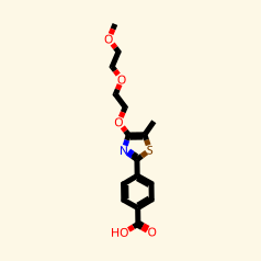 COCCOCCOc1nc(-c2ccc(C(=O)O)cc2)sc1C